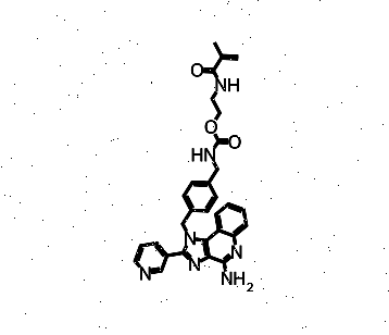 C=C(C)C(=O)NCCOC(=O)NCc1ccc(Cn2c(-c3cccnc3)nc3c(N)nc4ccccc4c32)cc1